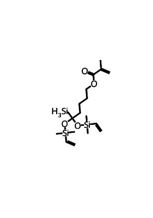 C=C[Si](C)(C)OC([SiH3])(CCCCOC(=O)C(=C)C)O[Si](C)(C)C=C